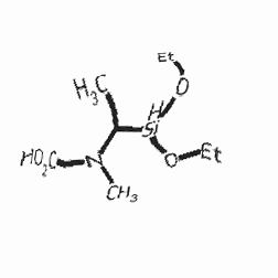 CCO[SiH](OCC)C(C)N(C)C(=O)O